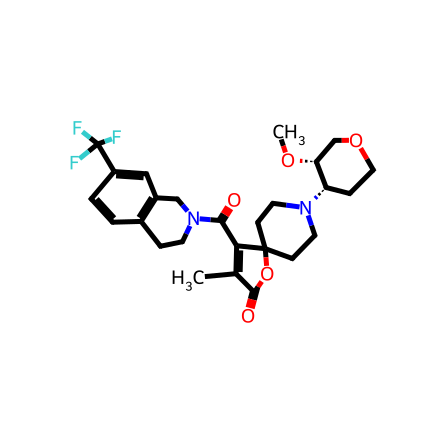 CO[C@@H]1COCC[C@@H]1N1CCC2(CC1)OC(=O)C(C)=C2C(=O)N1CCc2ccc(C(F)(F)F)cc2C1